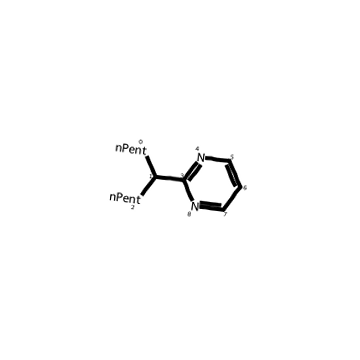 CCCCCC(CCCCC)c1ncccn1